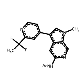 CC(=O)Nc1cc2c(-c3ccnc(C(C)(F)F)c3)cn(C)c2cn1